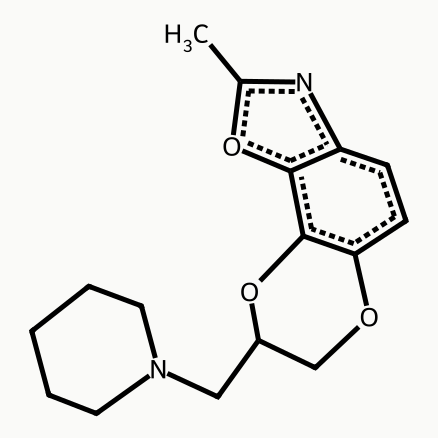 Cc1nc2ccc3c(c2o1)OC(CN1CCCCC1)CO3